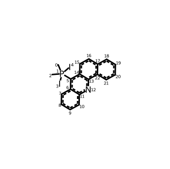 CP(C)(I)(I)c1c2ccccc2nc2c1ccc1ccccc12